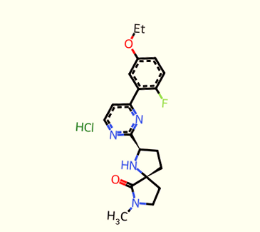 CCOc1ccc(F)c(-c2ccnc([C@H]3CC[C@]4(CCN(C)C4=O)N3)n2)c1.Cl